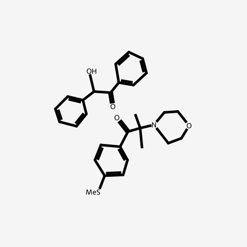 CSc1ccc(C(=O)C(C)(C)N2CCOCC2)cc1.O=C(c1ccccc1)C(O)c1ccccc1